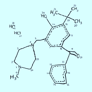 CN1CCN(Cc2cc(C(=O)c3ccccc3)cc(C(C)(C)C)c2O)CC1.Cl.Cl